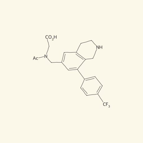 CC(=O)N(CC(=O)O)Cc1cc2c(c(-c3ccc(C(F)(F)F)cc3)c1)CNCC2